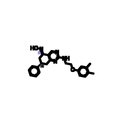 Cc1ccc(OCCNc2ncc3c(n2)C[C@H](c2ccccc2)C/C3=N\O)cc1C